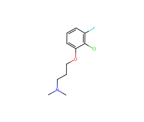 CN(C)CCCOc1cccc(F)c1Cl